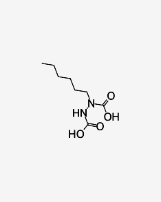 CCCCCCN(NC(=O)O)C(=O)O